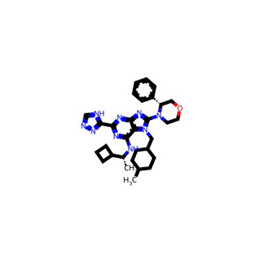 CC1CCC(Cn2c(N3CCOC[C@H]3c3ccccc3)nc3nc(-c4nnc[nH]4)nc(N[C@H](C)C4CCC4)c32)CC1